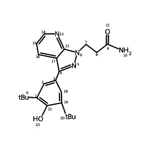 CC(C)(C)c1cc(-c2nn(CCC(N)=O)c3ncccc23)cc(C(C)(C)C)c1O